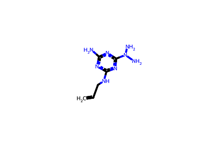 C=CCNc1nc(N)nc(N(N)N)n1